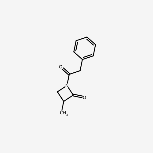 CC1CN(C(=O)Cc2ccccc2)C1=O